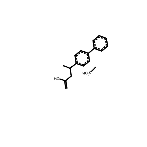 C=C(O)CC(C)c1ccc(-c2ccccc2)cc1.CC(=O)O